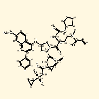 C=C=C1C[C@]1(NC(=O)[C@@H]1C[C@@H](Oc2cc(-c3ccccc3)nc3cc(OC)ccc23)CN1C(=O)[C@H](CCN(C)C(=O)C=C)NC(=O)OC1CCCC1)C(=O)NS(=O)(=O)C1CC1